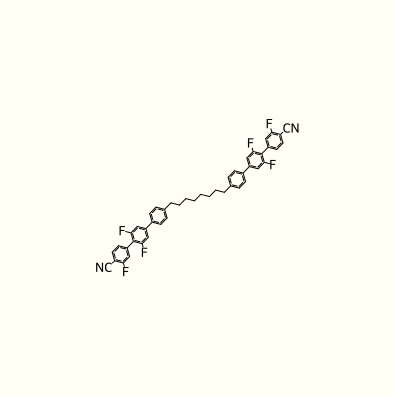 N#Cc1ccc(-c2c(F)cc(-c3ccc(CCCCCCCCc4ccc(-c5cc(F)c(-c6ccc(C#N)c(F)c6)c(F)c5)cc4)cc3)cc2F)cc1F